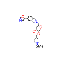 CSN1CCC(COc2coc(CN3Cc4ccc(-c5cnco5)cc4C3)cc2=O)CC1